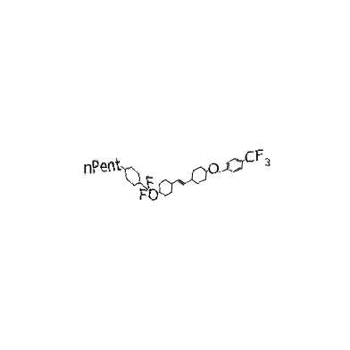 CCCCCC1CCC(C(F)(F)OC2CCC(/C=C/C3CCC(OCc4ccc(C(F)(F)F)cc4)CC3)CC2)CC1